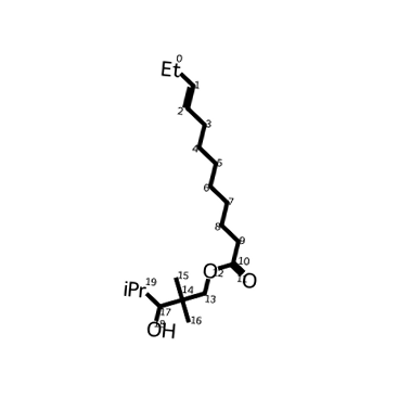 CCC=CCCCCCCCC(=O)OCC(C)(C)C(O)C(C)C